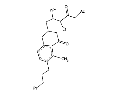 CCCC(CC1CC(=O)c2c(ccc(CCCC(C)C)c2C)C1)C(CC)C(=O)CC(C)=O